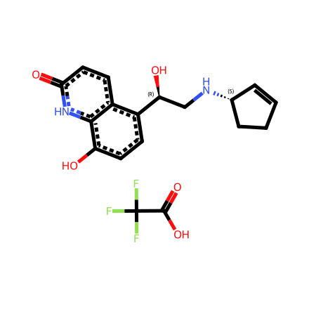 O=C(O)C(F)(F)F.O=c1ccc2c([C@@H](O)CN[C@@H]3C=CCC3)ccc(O)c2[nH]1